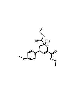 CCOC(=O)C1=CC(c2ccc(OC)cc2)CC(O)(C(=O)OCC)O1